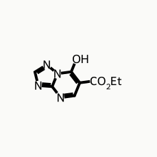 CCOC(=O)c1cnc2ncnn2c1O